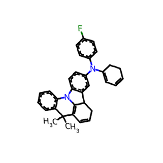 CC1(C)C2=C3C(CC=C2)c2cc(N(C4=CC=CCC4)c4ccc(F)cc4)ccc2N3c2ccccc21